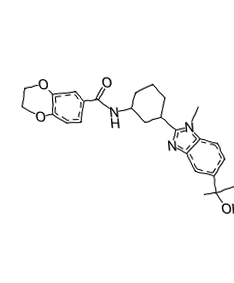 Cn1c(C2CCCC(NC(=O)c3ccc4c(c3)OCCO4)C2)nc2cc(C(C)(C)O)ccc21